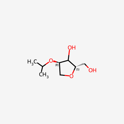 CC(C)O[C@@H]1CO[C@@H](CO)C1O